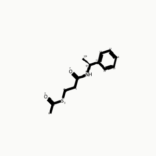 CC(=O)SCCC(=O)N[C@@H](C)c1ccccc1